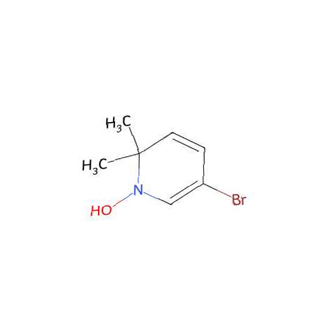 CC1(C)C=CC(Br)=CN1O